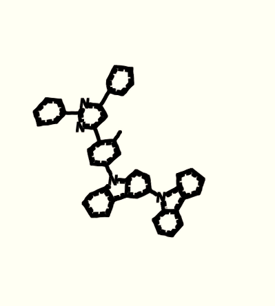 Cc1cc(-n2c3ccccc3c3cc(-n4c5ccccc5c5ccccc54)ccc32)ccc1-c1cc(-c2ccccc2)nc(-c2ccccc2)n1